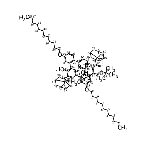 CCCCCCCCCCCCOc1ccc(-c2cccc(-c3ccc(OCCCCCCCCCCCC)cc3-c3cc(C(C)(C)C)cc(C45CC6CC(CC(C6)C4)C5)c3O)n2)c(-c2cc(C(C)(C)C)cc(C34CC5CC(CC(C5)C3)C4)c2O)c1